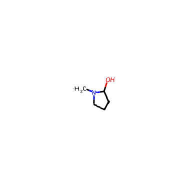 [CH2]N1CCCC1O